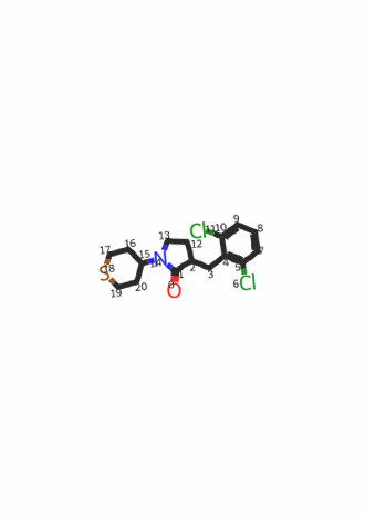 O=C1C(Cc2c(Cl)cccc2Cl)CCN1C1CCSCC1